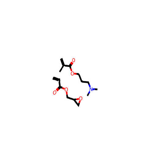 C=C(C)C(=O)OCCCN(C)C.C=CC(=O)OCC1CO1